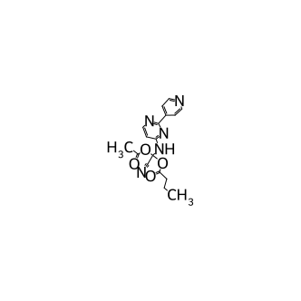 CCCC(=O)OC(C#N)(Nc1ccnc(-c2ccncc2)n1)OC(C)=O